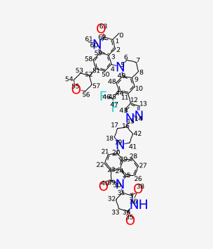 Cc1cc2c(N3CCCc4cc(-c5cnn(C6CCN(c7ccc8c9c(cccc79)N(C7CCC(=O)NC7=O)C8=O)CC6)c5)c(C(F)F)cc43)cc(C3CCOCC3)cc2n(C)c1=O